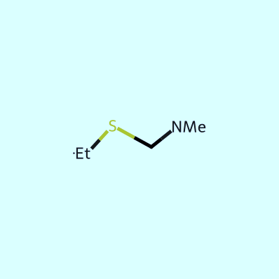 C[CH]SCNC